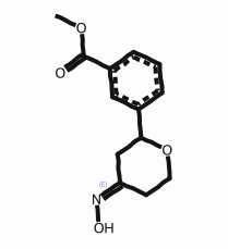 COC(=O)c1cccc(C2C/C(=N/O)CCO2)c1